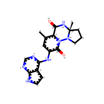 Cc1cc(Nc2ncnc3[nH]ccc23)c(=O)n2c1C(=O)N[C@]1(C)CCCN21